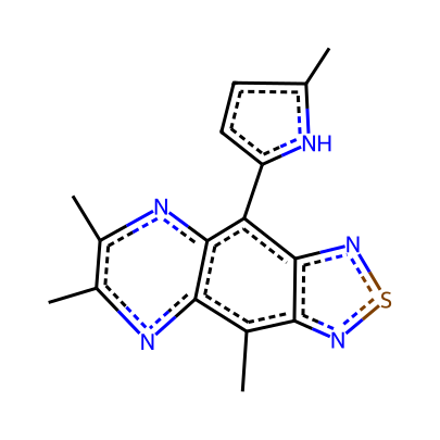 Cc1ccc(-c2c3nsnc3c(C)c3nc(C)c(C)nc23)[nH]1